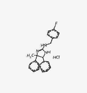 CC1(c2ccccc2)N=C(NCc2ccc(F)cc2)NC1c1ccccc1.Cl